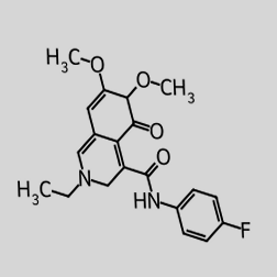 CCN1C=C2C=C(OC)C(OC)C(=O)C2=C(C(=O)Nc2ccc(F)cc2)C1